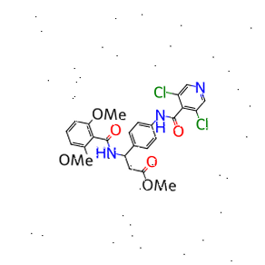 COC(=O)CC(NC(=O)c1c(OC)cccc1OC)c1ccc(NC(=O)c2c(Cl)cncc2Cl)cc1